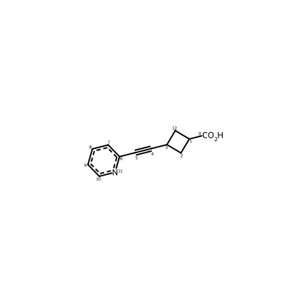 O=C(O)C1CC(C#Cc2ccccn2)C1